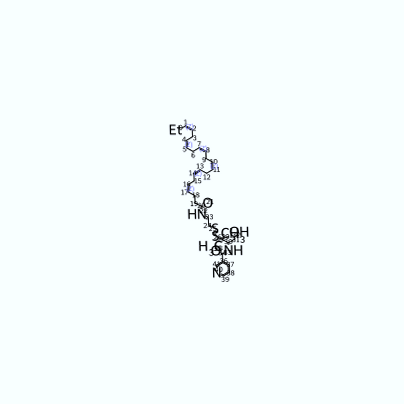 CC/C=C\C/C=C\C/C=C\C/C=C\C/C=C\C/C=C\CCC(=O)NCCSSC(C)(C)C(CO)NC(=O)c1cccnc1